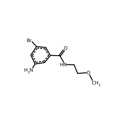 COCCNC(=O)c1cc(N)cc(Br)c1